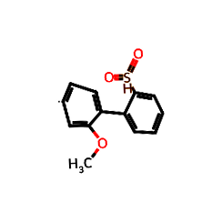 COc1c[c]ccc1-c1ccccc1[SH](=O)=O